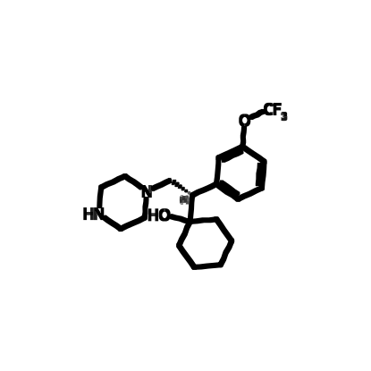 OC1([C@H](CN2CCNCC2)c2cccc(OC(F)(F)F)c2)CCCCC1